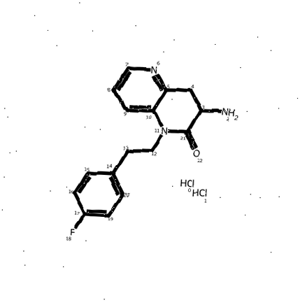 Cl.Cl.NC1Cc2ncccc2N(CCc2ccc(F)cc2)C1=O